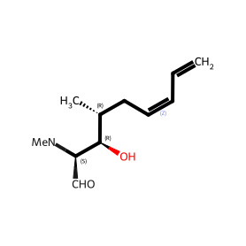 C=C/C=C\C[C@@H](C)[C@@H](O)[C@@H](C=O)NC